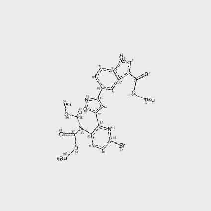 CC(C)(C)OC(=O)c1c[nH]c2ccc(-c3cc(-c4nc(Br)cnc4N(C(=O)OC(C)(C)C)C(=O)OC(C)(C)C)on3)cc12